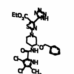 CCOC(=O)c1sc(N2CC[C@@H](NC(=O)c3[nH]c(C)c(Cl)c3Cl)[C@@H](OCc3ccccc3)C2)nc1-c1nnn[nH]1